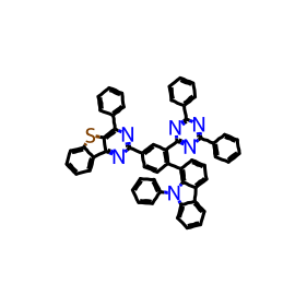 c1ccc(-c2nc(-c3ccccc3)nc(-c3cc(-c4nc(-c5ccccc5)c5sc6ccccc6c5n4)ccc3-c3cccc4c5ccccc5n(-c5ccccc5)c34)n2)cc1